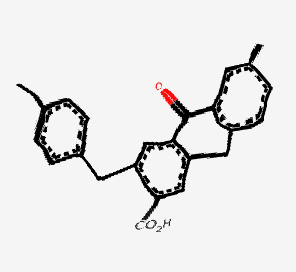 Cc1ccc(Cc2cc3c(cc2C(=O)O)Cc2ccc(C)cc2C3=O)cc1